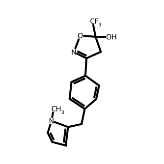 Cn1cccc1Cc1ccc(C2=NOC(O)(C(F)(F)F)C2)cc1